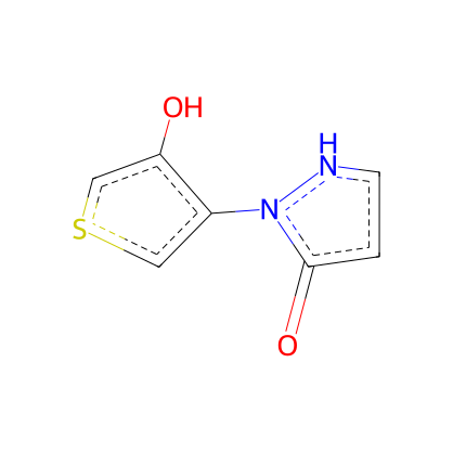 O=c1cc[nH]n1-c1cscc1O